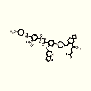 C=C(CCC(F)F)C1=C(CN2CCN(c3ccc(C(=O)NS(=O)(=O)c4ccc(NC[C@H]5CC[C@@H](C)CC5)c([N+](=O)[O-])c4)c(Oc4cnc5[nH]ccc5c4)c3)CC2)CCC2(CCC2)C1